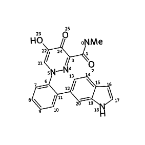 CNC(=O)c1nn(-c2ccccc2-c2ccc3cc[nH]c3c2)cc(O)c1=O